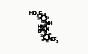 O=C(O)c1ccc(Nc2nn(-c3cccc(C(F)(F)F)c3)c(=O)[nH]2)cc1